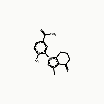 Cc1nn(-c2cc(C(N)=O)ccc2C(F)(F)F)c2c1C(=O)CCC2